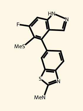 CNc1nc2ccc(-c3c(SC)c(F)cc4[nH]ncc34)cc2s1